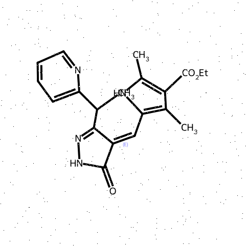 CCOC(=O)c1c(C)[nH]c(/C=C2/C(=O)NN=C2C(C)c2ccccn2)c1C